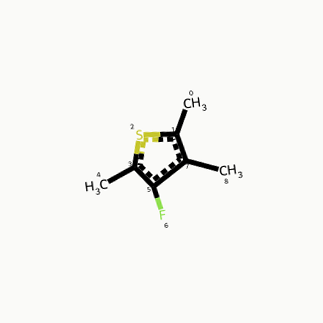 Cc1sc(C)c(F)c1C